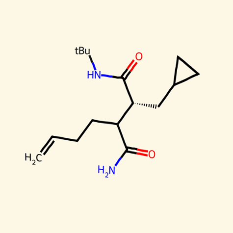 C=CCCC(C(N)=O)[C@@H](CC1CC1)C(=O)NC(C)(C)C